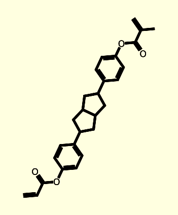 C=CC(=O)Oc1ccc(C2CC3CC(c4ccc(OC(=O)C(=C)C)cc4)CC3C2)cc1